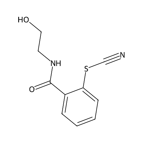 N#CSc1ccccc1C(=O)NCCO